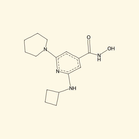 O=C(NO)c1cc(NC2CCC2)nc(N2CCCCC2)c1